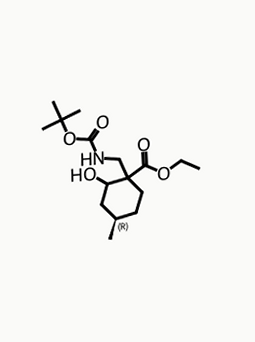 CCOC(=O)C1(CNC(=O)OC(C)(C)C)CC[C@@H](C)CC1O